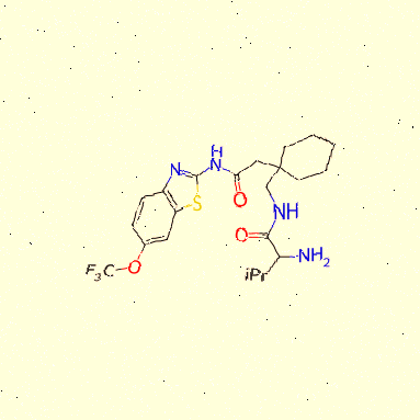 CC(C)C(N)C(=O)NCC1(CC(=O)Nc2nc3ccc(OC(F)(F)F)cc3s2)CCCCC1